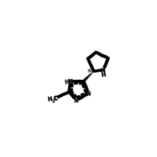 Cc1nnc([C@@H]2CCCN2)[nH]1